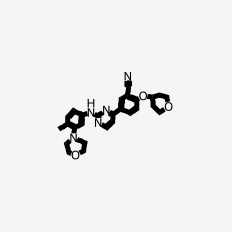 Cc1ccc(Nc2nccc(-c3ccc(OC4CCOCC4)c(C#N)c3)n2)cc1N1CCOCC1